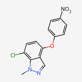 Cn1ncc2c(Oc3ccc([N+](=O)[O-])cc3)ccc(Cl)c21